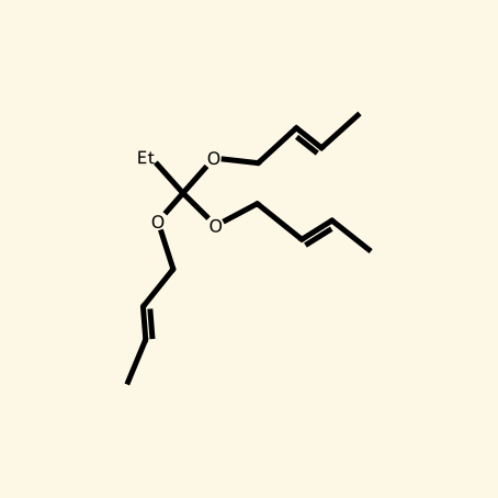 CC=CCOC(CC)(OCC=CC)OCC=CC